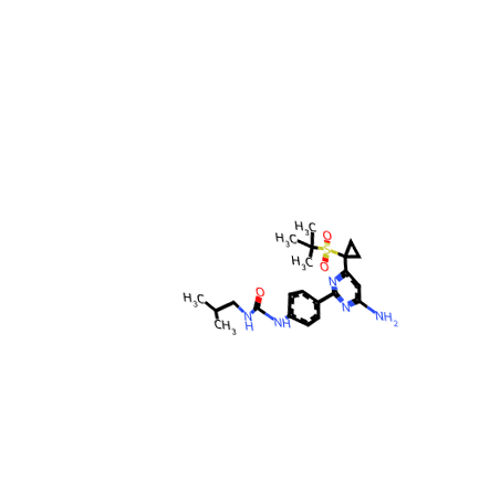 CC(C)CNC(=O)Nc1ccc(-c2nc(N)cc(C3(S(=O)(=O)C(C)(C)C)CC3)n2)cc1